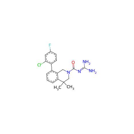 CC1(C)CN(C(=O)N=C(N)N)Cc2c(-c3ccc(F)cc3Cl)cccc21